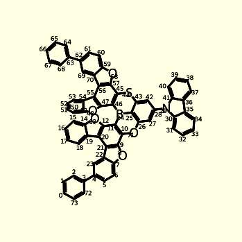 c1ccc(-c2ccc3oc4c5c(c6oc7ccccc7c6c4c3c2)B2c3c(cc(-n4c6ccccc6c6ccccc64)cc3Sc3c2c2oc4ccccc4c2c2c3oc3ccc(-c4ccccc4)cc32)O5)cc1